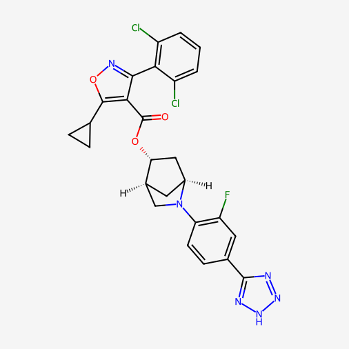 O=C(O[C@@H]1C[C@@H]2C[C@H]1CN2c1ccc(-c2nn[nH]n2)cc1F)c1c(-c2c(Cl)cccc2Cl)noc1C1CC1